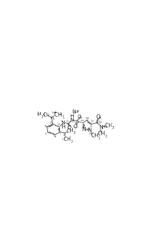 CC(C)c1cccc(C(C)C)c1NC(=O)NS(=O)(=O)c1cc(C(=O)N(C)C)n(C)n1.[Na]